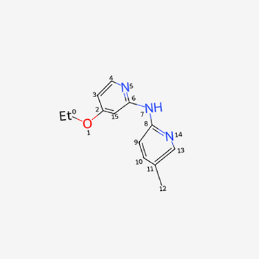 CCOc1ccnc(Nc2ccc(C)cn2)c1